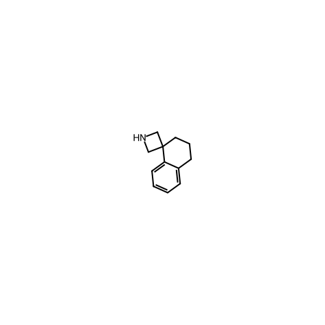 c1ccc2c(c1)CCCC21CNC1